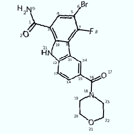 NC(=O)c1cc(Br)c(F)c2c1[nH]c1ccc(C(=O)N3CCOCC3)cc12